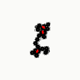 c1ccc(-c2ccccc2-c2ccccc2N(c2ccc(-c3ccccc3-n3c4ccccc4c4ccc(-c5ccc(-c6cccc(-c7ccc(N(c8ccc(-c9ccccc9-n9c%10ccccc%10c%10ccccc%109)cc8)c8ccc(-c9cccc%10oc%11ccccc%11c9%10)cc8)cc7)c6)cc5)cc43)cc2)c2ccc(-c3cccc4oc5ccccc5c34)cc2)cc1